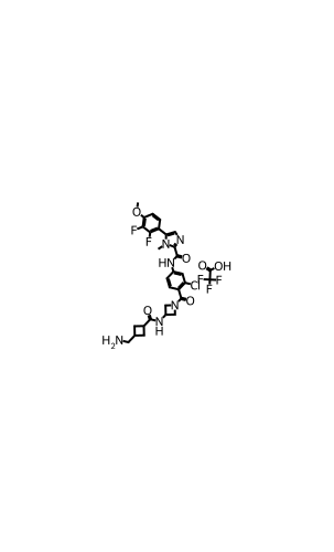 COc1ccc(-c2cnc(C(=O)Nc3ccc(C(=O)N4CC(NC(=O)C5CC(CN)C5)C4)c(Cl)c3)n2C)c(F)c1F.O=C(O)C(F)(F)F